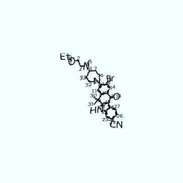 CCOCCN(C)C1CCN(c2cc3c(cc2Br)C(=O)c2c([nH]c4cc(C#N)ccc24)C3(C)C)CC1